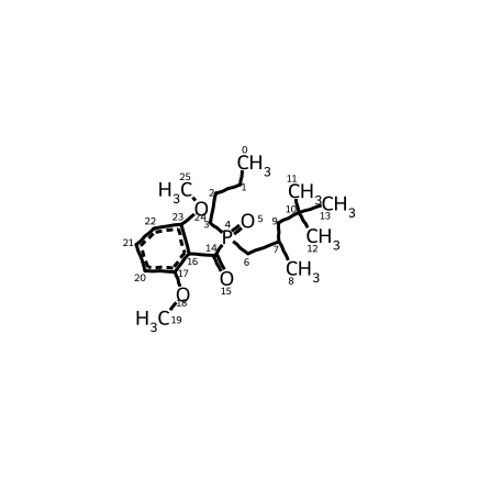 CCCCP(=O)(CC(C)CC(C)(C)C)C(=O)c1c(OC)cccc1OC